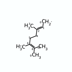 [CH2]/C=C(\C)CCC(C)=C(C)C